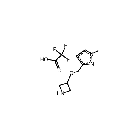 Cn1ccc(COC2CNC2)n1.O=C(O)C(F)(F)F